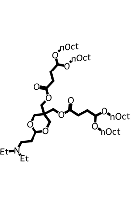 CCCCCCCCOC(CCC(=O)OCC1(COC(=O)CCC(OCCCCCCCC)OCCCCCCCC)COC(CCN(CC)CC)OC1)OCCCCCCCC